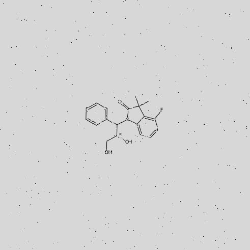 CC1(C)C(=O)N(C(c2ccccc2)[C@H](O)CO)c2cccc(F)c21